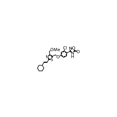 COCc1nc(C=CC2CCCCC2)sc1COc1ccc(-c2noc(=O)[nH]2)c(Cl)c1